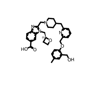 Cc1ccc(OCc2cccc(CC3CCN(Cc4nc5ccc(C(=O)O)cc5n4C[C@@H]4CCO4)CC3)n2)c(CO)c1